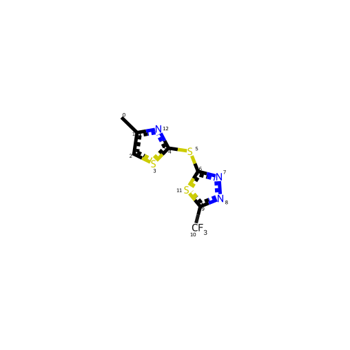 Cc1csc(Sc2nnc(C(F)(F)F)s2)n1